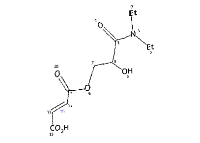 CCN(CC)C(=O)C(O)COC(=O)/C=C/C(=O)O